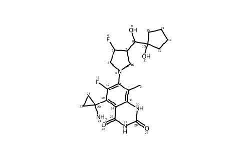 Cc1c(N2CC(F)C(C(O)C3(O)CCCC3)C2)c(F)c(C2(N)CC2)c2c(=O)[nH]c(=O)[nH]c12